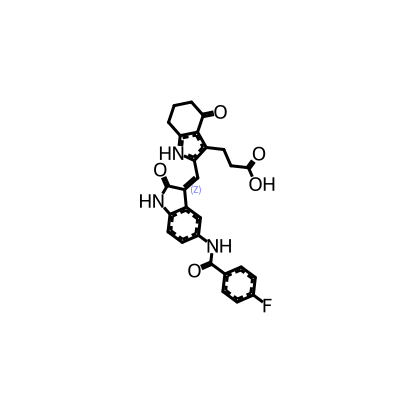 O=C(O)CCc1c(/C=C2\C(=O)Nc3ccc(NC(=O)c4ccc(F)cc4)cc32)[nH]c2c1C(=O)CCC2